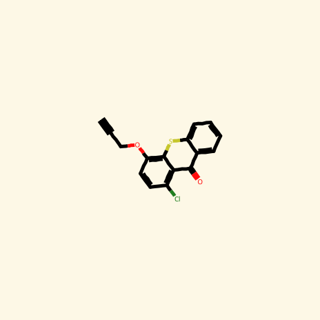 C#CCOc1ccc(Cl)c2c(=O)c3ccccc3sc12